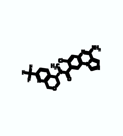 CN(C(=O)c1cc2c(cc1Cl)nc(N)c1cncn12)[C@H]1COCc2nc(C(F)(F)F)ccc21